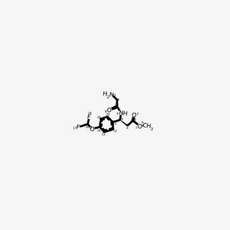 COC(=O)C[C@H](NC(=O)CN)c1ccc(OC(F)F)cc1